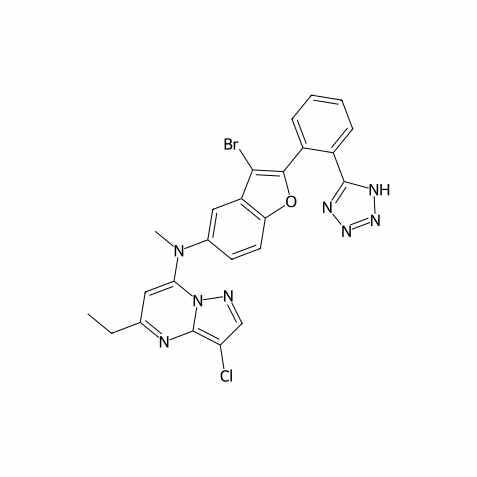 CCc1cc(N(C)c2ccc3oc(-c4ccccc4-c4nnn[nH]4)c(Br)c3c2)n2ncc(Cl)c2n1